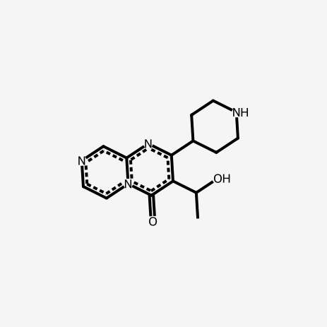 CC(O)c1c(C2CCNCC2)nc2cnccn2c1=O